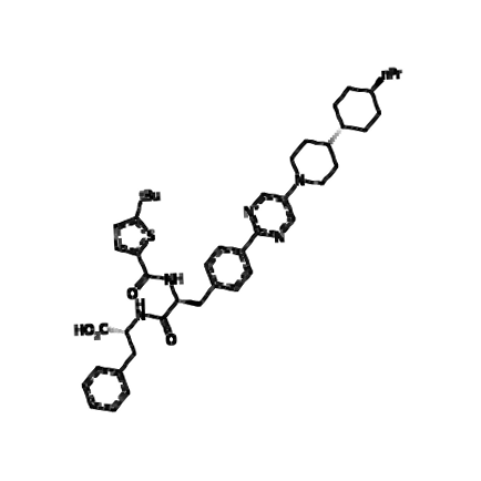 CCC[C@H]1CC[C@H](C2CCN(c3cnc(-c4ccc(C[C@H](NC(=O)c5ccc(C(C)(C)C)s5)C(=O)N[C@H](Cc5ccccc5)C(=O)O)cc4)nc3)CC2)CC1